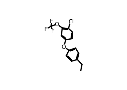 CCc1ccc(Oc2ccc(Cl)c(OC(F)(F)F)c2)cc1